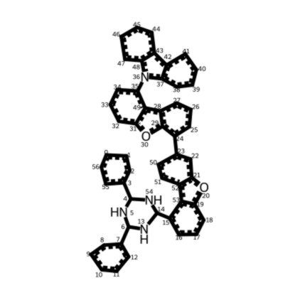 c1ccc(C2NC(c3ccccc3)NC(c3cccc4oc5cc(-c6cccc7c6oc6cccc(-n8c9ccccc9c9ccccc98)c67)ccc5c34)N2)cc1